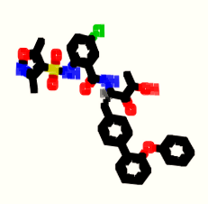 Cc1noc(C)c1S(=O)(=O)Nc1ccc(Cl)cc1C(=O)N[C@@H](Cc1ccc(-c2ccccc2Oc2ccccc2)cc1)C(=O)C(C)O